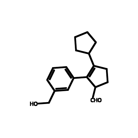 O=CC1CCC(C2CCCC2)=C1c1cccc(CO)c1